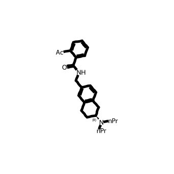 CCCN(CCC)[C@@H]1CCc2cc(CNC(=O)c3ccccc3C(C)=O)ccc2C1